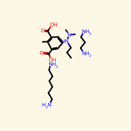 CCCNN(C)C.Cc1c(C(=O)O)cccc1C(=O)O.NCCCCCCN.NCCCN